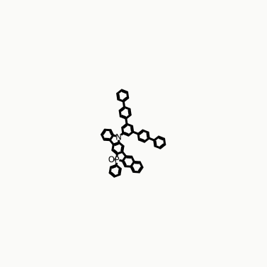 O=P1(c2ccccc2)c2cc3ccccc3cc2-c2cc3c(cc21)c1ccccc1n3-c1cc(-c2ccc(-c3ccccc3)cc2)cc(-c2ccc(-c3ccccc3)cc2)c1